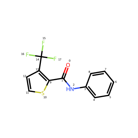 O=C(Nc1ccccc1)c1sccc1C(F)(F)F